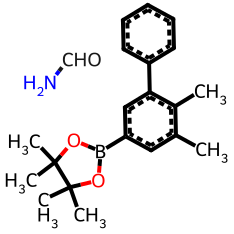 Cc1cc(B2OC(C)(C)C(C)(C)O2)cc(-c2ccccc2)c1C.NC=O